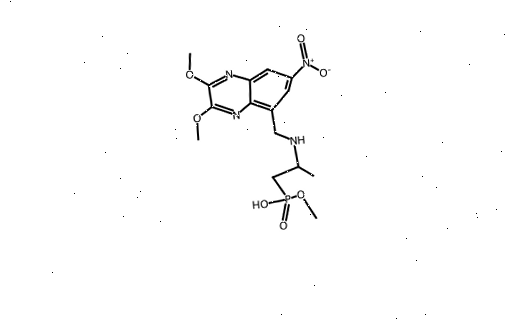 COc1nc2cc([N+](=O)[O-])cc(CNC(C)CP(=O)(O)OC)c2nc1OC